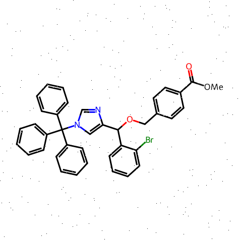 COC(=O)c1ccc(COC(c2cn(C(c3ccccc3)(c3ccccc3)c3ccccc3)cn2)c2ccccc2Br)cc1